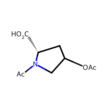 CC(=O)OC1C[C@@H](C(=O)O)N(C(C)=O)C1